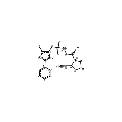 Cc1oc(-c2ccccc2)nc1CC(C)(C)NCC(=O)N1CCC[C@H]1C#N